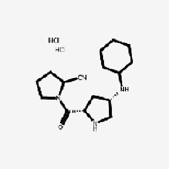 Cl.Cl.N#CC1CCCN1C(=O)[C@@H]1C[C@H](NC2CCCCC2)CN1